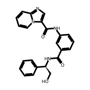 O=C(N[C@@H](CO)c1ccccc1)c1cccc(NC(=O)c2cnc3ccccn23)c1